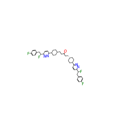 O=C(CCC1CCC(c2ccc(C(F)Cc3ccc(F)cc3)nn2)CC1)CC[C@H]1CC[C@H](c2ccc(C(F)Cc3ccc(F)cc3)nn2)CC1